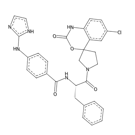 O=C1Nc2ccc(Cl)cc2C2(CCN(C(=O)[C@H](Cc3ccccc3)NC(=O)c3ccc(Nc4ncc[nH]4)cc3)C2)O1